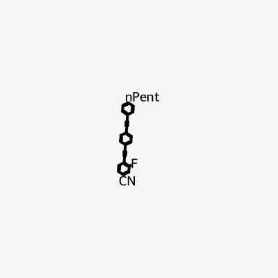 CCCCCc1ccc(C#Cc2ccc(C#Cc3ccc(C#N)cc3F)cc2)cc1